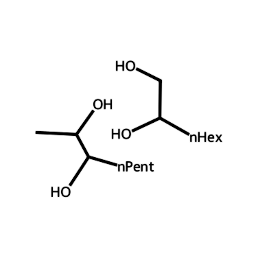 CCCCCC(O)C(C)O.CCCCCCC(O)CO